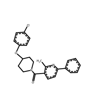 Cc1nc(-c2ccccc2)ccc1C(=O)N1CCC(Oc2ccc(Cl)cc2)CC1